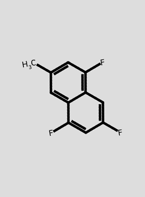 Cc1cc(F)c2cc(F)cc(F)c2c1